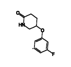 O=C1CCC(Oc2c[c]cc(F)c2)CN1